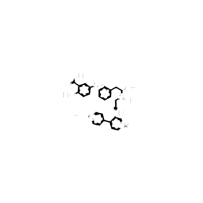 C#CCN(C)[C@H](C)Cc1ccccc1.C[n+]1ccc(-c2cc[n+](C)cc2)cc1.Nc1ccc(O)c(C(=O)O)c1